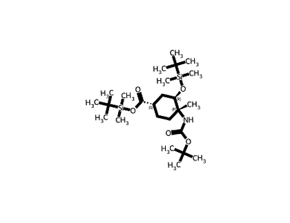 CC(C)(C)OC(=O)N[C@]1(C)CC[C@H](C(=O)O[Si](C)(C)C(C)(C)C)C[C@H]1O[Si](C)(C)C(C)(C)C